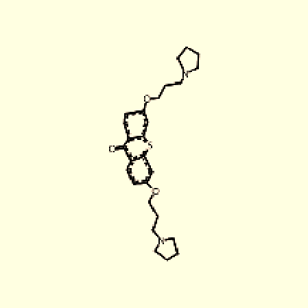 O=c1c2ccc(OCCCN3CCCC3)cc2sc2cc(OCCCN3CCCC3)ccc12